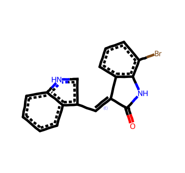 O=C1Nc2c(Br)cccc2/C1=C\c1c[nH]c2ccccc12